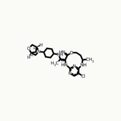 C/C(NC1CCC(N2C[C@H]3C[C@@H]2CO3)CC1)=C1\Nc2ncc(Cl)c(n2)NC(C)CCOC1=N